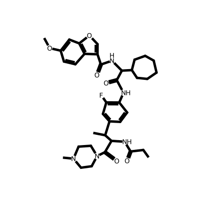 CCC(=O)NC(C(=O)N1CCN(C)CC1)C(C)c1ccc(NC(=O)C(NC(=O)c2coc3cc(OC)ccc23)C2CCCCCC2)c(F)c1